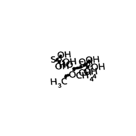 C.C.CCOC(O)CO.OP(O)(O)=S.OP(O)(O)=S